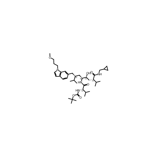 COCCCn1ccc2ccc(C[C@@H](C[C@H](NC(=O)[C@@H](NC(=O)OC(C)(C)C)C(C)C)[C@@H](O)C[C@H](C(=O)NCC3CC3)C(C)C)C(C)C)cc21